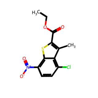 CCOC(=O)c1sc2c([N+](=O)[O-])ccc(Cl)c2c1C